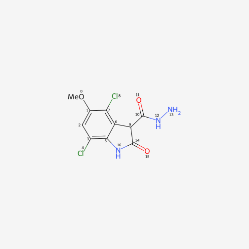 COc1cc(Cl)c2c(c1Cl)C(C(=O)NN)C(=O)N2